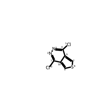 Clc1nnc(Cl)c2cscc12